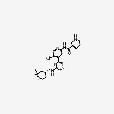 CC1(C)C[C@H](CNc2cncc(-c3cc(NC(=O)C4=CCCNC4)ncc3Cl)n2)CCO1